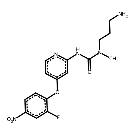 CN(CCCN)C(=O)Nc1cc(Oc2ccc([N+](=O)[O-])cc2F)ccn1